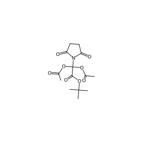 CC(=O)OC(OC(C)=O)(C(=O)OC(C)(C)C)N1C(=O)CCC1=O